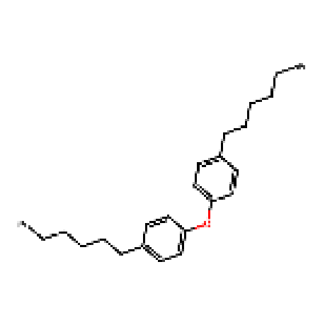 CC(C)CCCCCc1ccc(Oc2ccc(CCCCCC(C)C)cc2)cc1